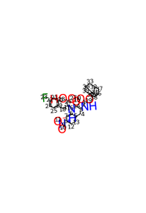 O=C(N[C@@H](Cc1ccc([N+](=O)[O-])cc1)C(=O)N[C@@H](Cc1ccc(F)cc1)C(=O)O)OC12CC3CC(CC(C3)C1)C2